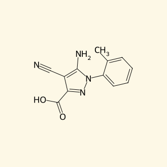 Cc1ccccc1-n1nc(C(=O)O)c(C#N)c1N